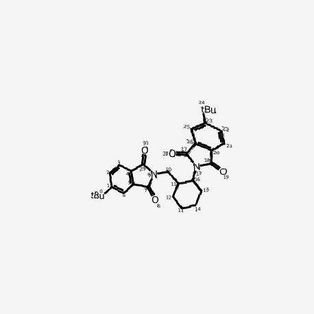 CC(C)(C)c1ccc2c(c1)C(=O)N(CC1CCCCC1N1C(=O)c3ccc(C(C)(C)C)cc3C1=O)C2=O